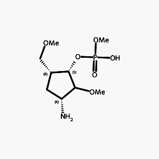 COC[C@H]1C[C@@H](N)C(OC)[C@H]1OP(=O)(O)OC